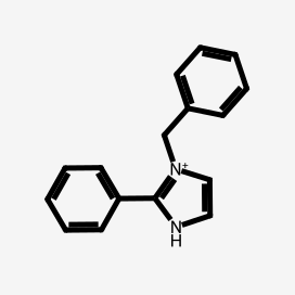 c1ccc(C[n+]2cc[nH]c2-c2ccccc2)cc1